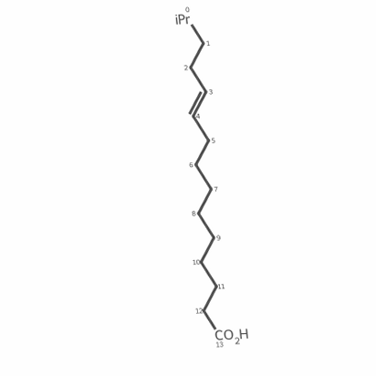 CC(C)CC/C=C/CCCCCCCCC(=O)O